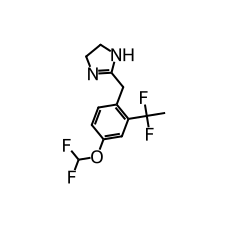 CC(F)(F)c1cc(OC(F)F)ccc1CC1=NCCN1